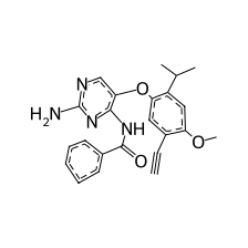 C#Cc1cc(Oc2cnc(N)nc2NC(=O)c2ccccc2)c(C(C)C)cc1OC